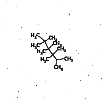 CC(C)C(C)(C)C(C)(C)C(C)(C)C